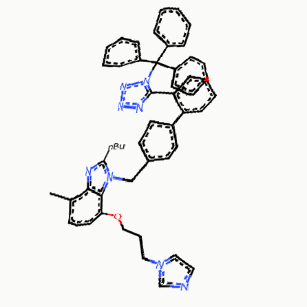 CCCCc1nc2c(C)ccc(OCCCn3ccnc3)c2n1Cc1ccc(-c2ccccc2-c2nnnn2C(c2ccccc2)(c2ccccc2)c2ccccc2)cc1